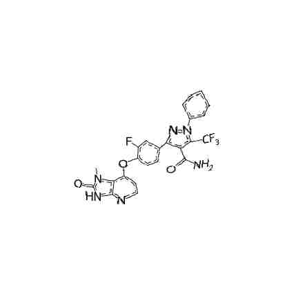 Cn1c(=O)[nH]c2nccc(Oc3ccc(-c4nn(-c5ccccc5)c(C(F)(F)F)c4C(N)=O)cc3F)c21